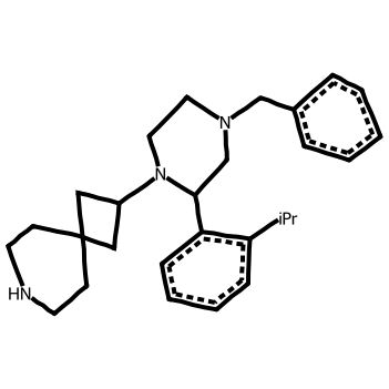 CC(C)c1ccccc1C1CN(Cc2ccccc2)CCN1C1CC2(CCNCC2)C1